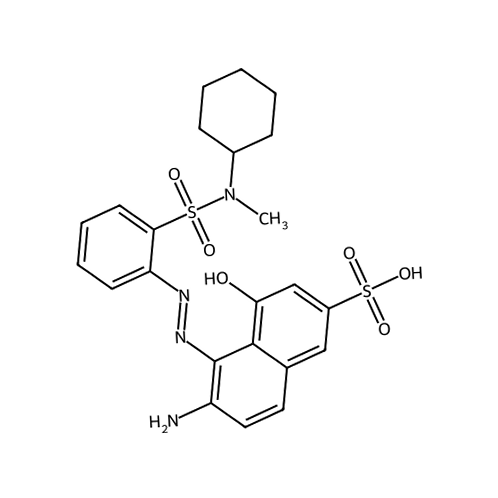 CN(C1CCCCC1)S(=O)(=O)c1ccccc1N=Nc1c(N)ccc2cc(S(=O)(=O)O)cc(O)c12